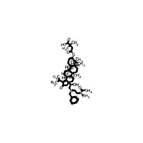 CC(=O)N(C)CCN(Cc1ccccc1)CC(O)C12CC[C@]3(C)[C@H](CC[C@@H]4[C@@]5(C)CC[C@H](OC(=O)CC(C)(C)C(=O)O)C(C)(C)[C@@H]5CC[C@]43C)C1=C(C(C)C)C(=O)C2